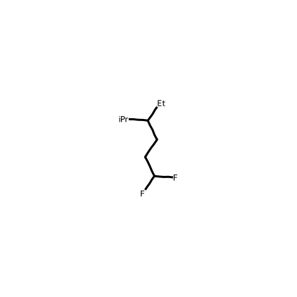 CCC(CCC(F)F)C(C)C